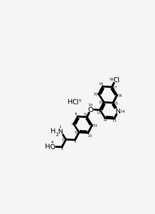 Cl.NC(CO)Cc1ccc(Oc2ccnc3cc(Cl)ccc23)cc1